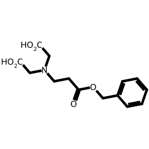 O=C(O)CN(CCC(=O)OCc1ccccc1)CC(=O)O